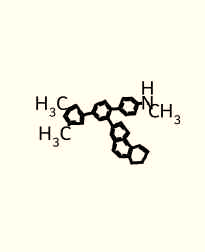 CNc1ccc(-c2ccc(-c3cc(C)cc(C)c3)cc2-c2ccc3c4c(ccc3c2)CCC=C4)cc1